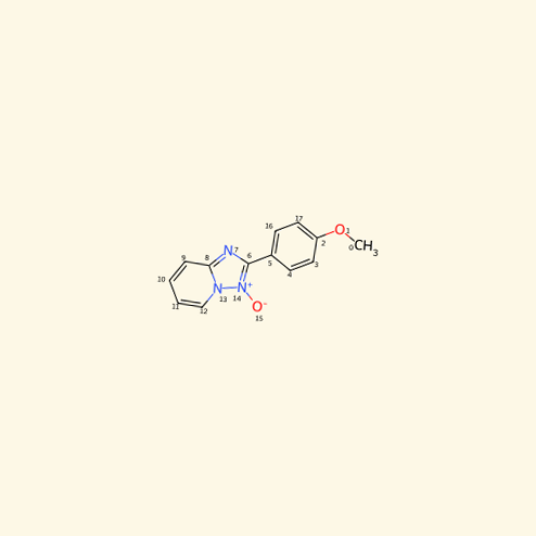 COc1ccc(-c2nc3ccccn3[n+]2[O-])cc1